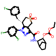 CCOC(=O)O[C@@H]1C2CCC(C2)[C@@H]1NC(=O)c1nn(-c2ccc(F)cc2F)c2c1CS(=O)(=O)C[C@H]2Cc1cccc(F)c1